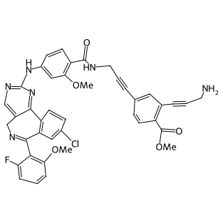 COC(=O)c1ccc(C#CCNC(=O)c2ccc(Nc3ncc4c(n3)-c3ccc(Cl)cc3C(c3c(F)cccc3OC)=NC4)cc2OC)cc1C#CCN